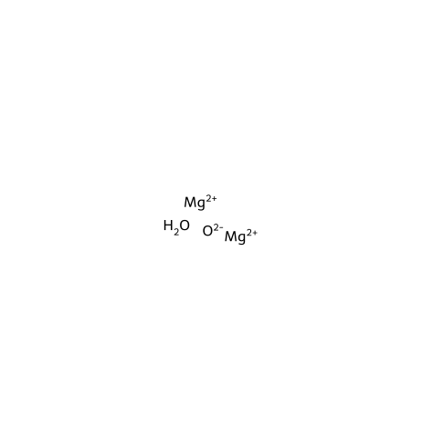 O.[Mg+2].[Mg+2].[O-2]